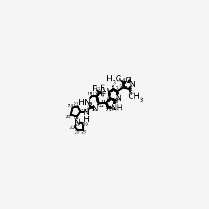 Cc1noc(C)c1-c1ccc2c(C3=C(C(F)(F)F)CNC(NC4CCC[C@@H]4N4CCCC4)=N3)c[nH]c2n1